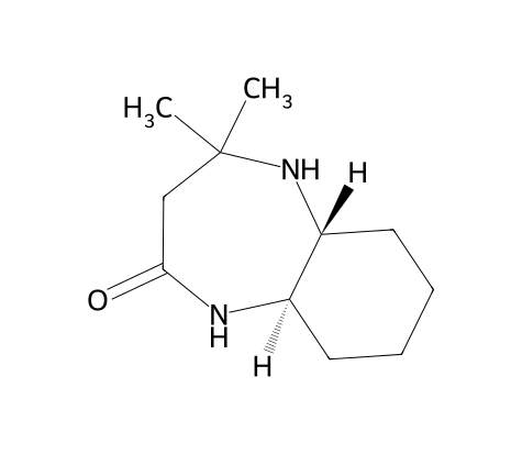 CC1(C)CC(=O)N[C@@H]2CCCC[C@H]2N1